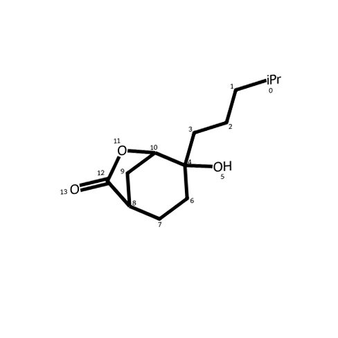 CC(C)CCCC1(O)CCC2CC1OC2=O